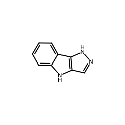 c1ccc2c(c1)[nH]c1cn[nH]c12